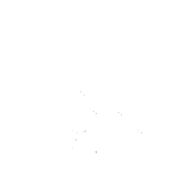 CCC1C=C(n2c3ccccc3c3ccccc32)N=C(c2ccc3c(oc4ccccc43)c2-n2c3cc4ccccc4cc3c3cc4ccccc4cc32)N=C1c1ccc2c(c1)oc1ccccc12